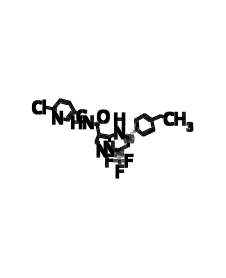 CCc1ccc([C@@H]2C[C@H](C(F)(F)F)n3ncc(C(=O)NCc4ccc(Cl)nc4)c3N2)cc1